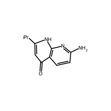 CC(C)c1cc(=O)c2ccc(N)nc2[nH]1